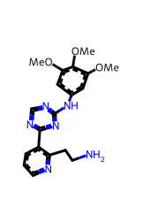 COc1cc(Nc2ncnc(-c3cccnc3CCN)n2)cc(OC)c1OC